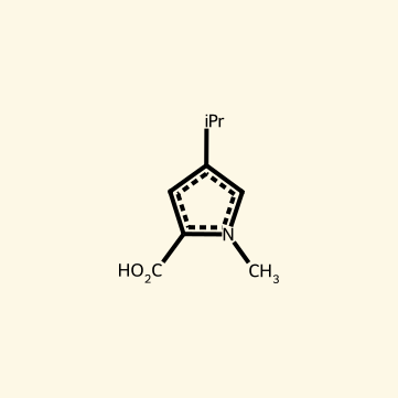 CC(C)c1cc(C(=O)O)n(C)c1